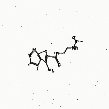 Cc1nnc2sc(C(=O)NCCN[S+](C)[O-])c(N)c2c1C